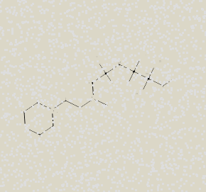 CN(CCN1CCOCC1)CC(F)(F)CC(F)(F)C(F)(F)CC(F)(F)F